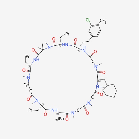 CC[C@H](C)[C@@H]1NC(=O)[C@H](CC(C)C)N(C)C(=O)C[C@@H](C)N(C)C(=O)[C@H](CC(C)C)NC(=O)C(C)(C)N(C)C(=O)[C@H](CC(C)C)NC(=O)[C@H](CCc2ccc(C(F)(F)F)c(Cl)c2)NC(=O)CN(C)C(=O)[C@H](CC2CCCCC2)N(C)C(=O)CN(C)C(=O)CN(C)C1=O